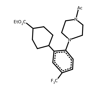 CCOC(=O)C1CCC(c2cc(C(F)(F)F)ccc2N2CCN(C(C)=O)CC2)CC1